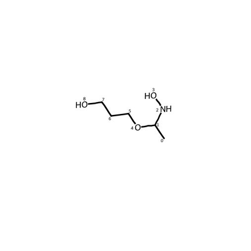 CC(NO)OCCCO